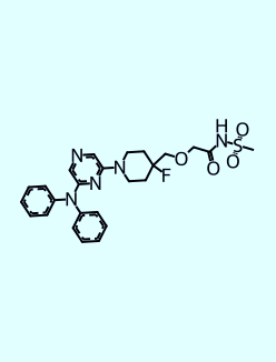 CS(=O)(=O)NC(=O)COCC1(F)CCN(c2cncc(N(c3ccccc3)c3ccccc3)n2)CC1